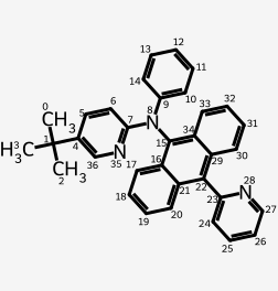 CC(C)(C)c1ccc(N(c2ccccc2)c2c3ccccc3c(-c3ccccn3)c3ccccc23)nc1